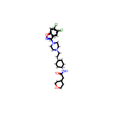 O=C(CC1CCOCC1)N[C@H]1CC[C@H](CCN2CCN(c3noc4cc(Cl)c(Cl)cc34)CC2)CC1